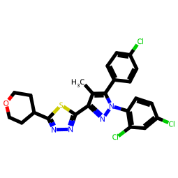 Cc1c(-c2nnc(C3CCOCC3)s2)nn(-c2ccc(Cl)cc2Cl)c1-c1ccc(Cl)cc1